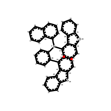 c1ccc(N(c2cccc3ccccc23)c2cccc3oc4ccccc4c23)c(-c2cccc3sc4ccccc4c23)c1